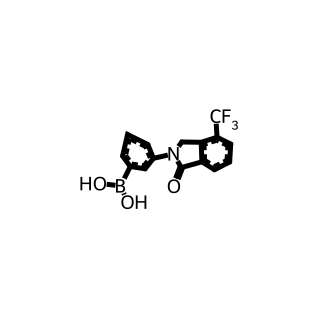 O=C1c2cccc(C(F)(F)F)c2CN1c1cccc(B(O)O)c1